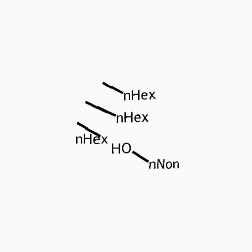 CCCCCCC.CCCCCCC.CCCCCCC.CCCCCCCCCO